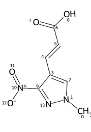 Cn1cc(C=CC(=O)O)c([N+](=O)[O-])n1